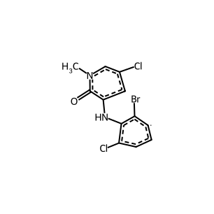 Cn1cc(Cl)cc(Nc2c(Br)[c]ccc2Cl)c1=O